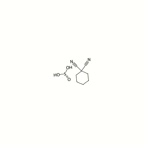 N#CC1(C#N)CCCCC1.O=S(O)O